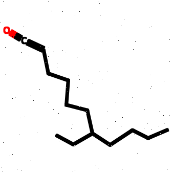 CCCCC(CC)CCCCC=C=O